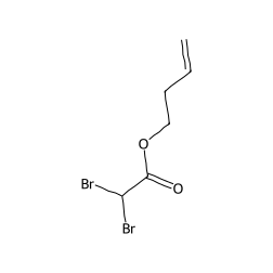 C=CCCOC(=O)C(Br)Br